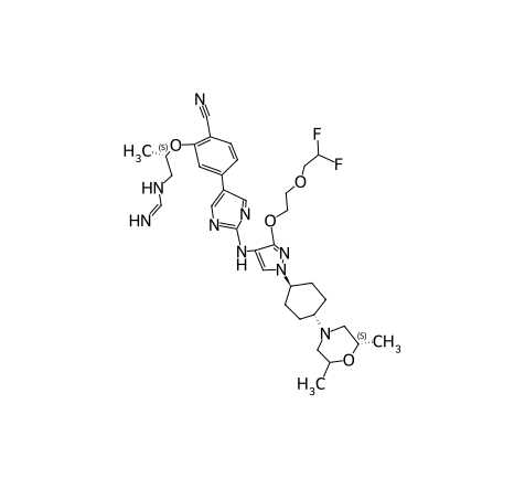 CC1CN([C@H]2CC[C@H](n3cc(Nc4ncc(-c5ccc(C#N)c(O[C@@H](C)CNC=N)c5)cn4)c(OCCOCC(F)F)n3)CC2)C[C@H](C)O1